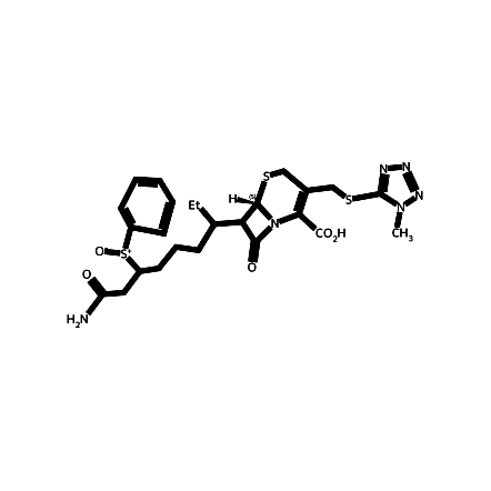 CCC(CCCC(CC(N)=O)[S+]([O-])c1ccccc1)C1C(=O)N2C(C(=O)O)=C(CSc3nnnn3C)CS[C@@H]12